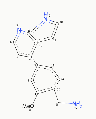 COc1cc(-c2ccnc3[nH]ccc23)ccc1CN